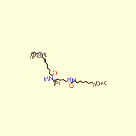 CCCCC/C=C\C/C=C\CCCCCCCC(=O)N[C@@H](CCCCNC(=O)CCCCCCCCCCCCCCCCC)C(C)C